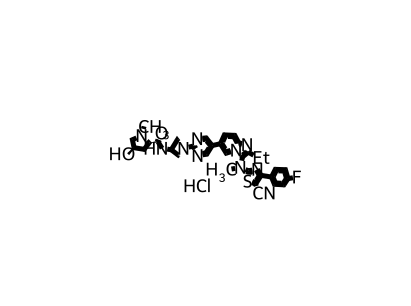 CCc1nc2ccc(-c3cnc(N4CC(NC(=O)[C@@H]5C[C@@H](O)CN5C)C4)nc3)cn2c1N(C)c1nc(-c2ccc(F)cc2)c(C#N)s1.Cl